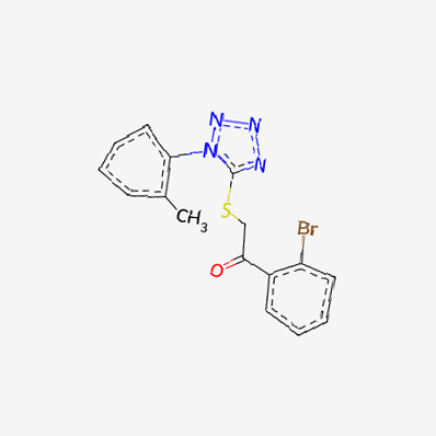 Cc1ccccc1-n1nnnc1SCC(=O)c1ccccc1Br